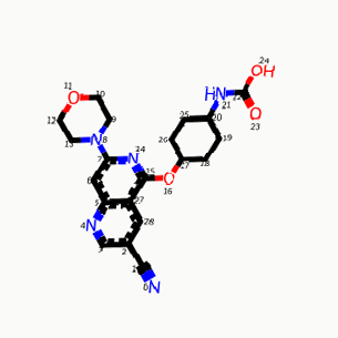 N#Cc1cnc2cc(N3CCOCC3)nc(OC3CCC(NC(=O)O)CC3)c2c1